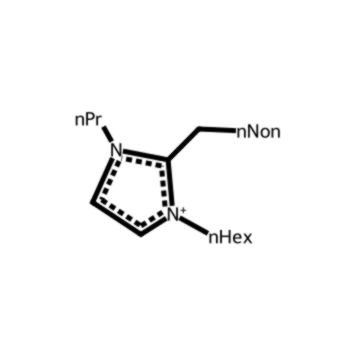 CCCCCCCCCCc1n(CCC)cc[n+]1CCCCCC